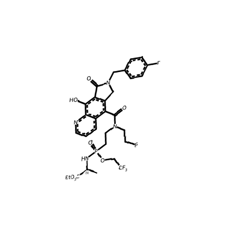 CCOC(=O)[C@H](C)NP(=O)(CCN(CCF)C(=O)c1c2c(c(O)c3ncccc13)C(=O)N(Cc1ccc(F)cc1)C2)OCC(F)(F)F